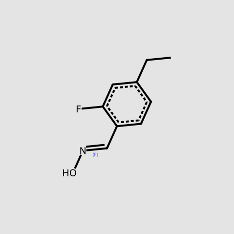 CCc1ccc(/C=N/O)c(F)c1